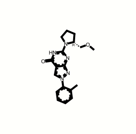 COC[C@H]1CCCN1c1nc2nn(-c3ccccc3C)cc2c(=O)[nH]1